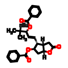 CCCCC(C)(C)[C@@H](/C=C/[C@@H]1[C@H]2CC(=O)O[C@H]2C[C@H]1OC(=O)c1ccccc1)OC(=O)c1ccccc1